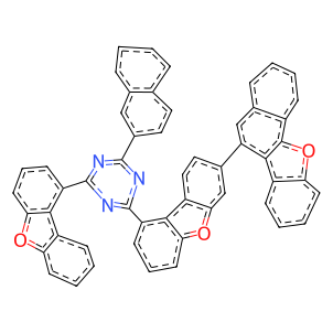 c1ccc2cc(-c3nc(-c4cccc5oc6ccccc6c45)nc(-c4cccc5oc6cc(-c7cc8ccccc8c8oc9ccccc9c78)ccc6c45)n3)ccc2c1